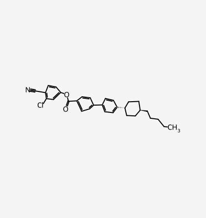 CCCCC[C@H]1CC[C@H](c2ccc(-c3ccc(C(=O)Oc4ccc(C#N)c(Cl)c4)cc3)cc2)CC1